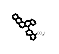 O=C(O)c1cccc2ccc(-c3c4ccccc4cc4c3ccc3cc5ccccc5cc34)cc12